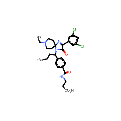 CC(C)CN1CCC2(CC1)N=C(c1cc(Cl)cc(Cl)c1)C(=O)N2C(CCC(C)(C)C)c1ccc(C(=O)NCCC(=O)O)cc1